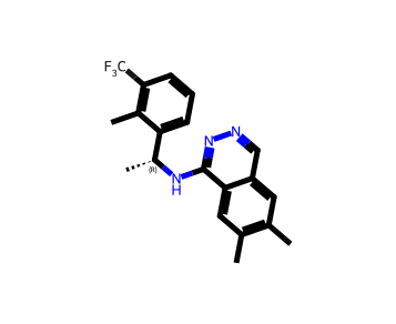 Cc1cc2cnnc(N[C@H](C)c3cccc(C(F)(F)F)c3C)c2cc1C